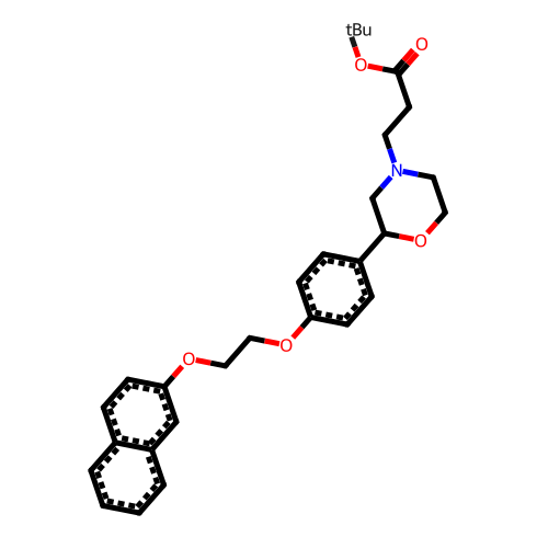 CC(C)(C)OC(=O)CCN1CCOC(c2ccc(OCCOc3ccc4ccccc4c3)cc2)C1